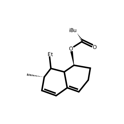 CCC1C2C(=CCC[C@@H]2OC(=O)[C@@H](C)CC)C=C[C@@H]1C